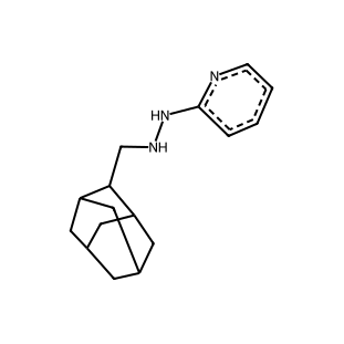 c1ccc(NNCC2C3CC4CC(C3)CC2C4)nc1